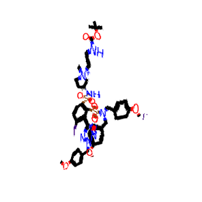 COc1ccc(CN(Cc2ccc(OC)cc2)S(=O)(=O)c2c(S(=O)(=O)N[C@@H]3CC[N+](C)(CCNC(=O)OC(C)(C)C)C3)ccc(I)c2-c2nnn(Cc3ccc(OC)cc3)n2)cc1.[I-]